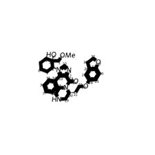 COC[C@]1(O)CCCC[C@H]1n1cnc(C(=O)N2CCNC[C@H]2CCOc2ccc3c(c2)CCO3)c1-c1ccccc1